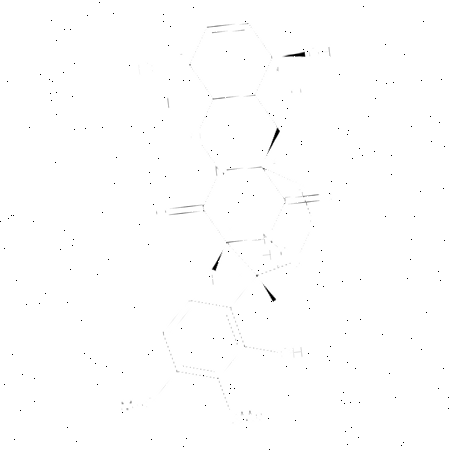 COc1ccc([C@H]2SSS[C@@]34C[C@]5(O)[C@H](O)C=C[C@@H](O)[C@@H]5ON3C(=O)[C@@H]2N(C)C4=O)c(O)c1OC